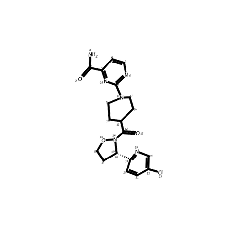 NC(=O)c1ccnc(N2CCC(C(=O)N3OCC[C@H]3c3ccc(Cl)cn3)CC2)n1